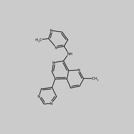 Cc1ccc2c(-c3cncnc3)cnc(Nc3ccnc(C)n3)c2n1